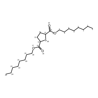 CCCCCCCCOC(=O)C1CCC(C(=O)OCCCCCCCC)S1